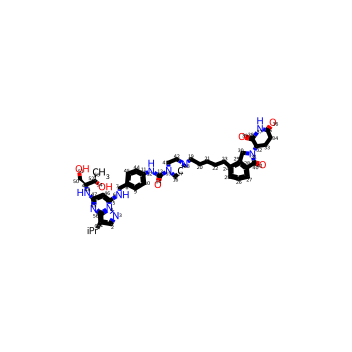 CC(C)c1cnn2c(NCc3ccc(NC(=O)N4CCN(CCCCCc5cccc6c5CN(C5CCC(=O)NC5=O)C6=O)CC4)cc3)cc(N[C@@H](CO)[C@H](C)O)nc12